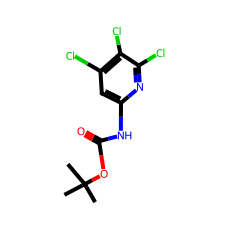 CC(C)(C)OC(=O)Nc1cc(Cl)c(Cl)c(Cl)n1